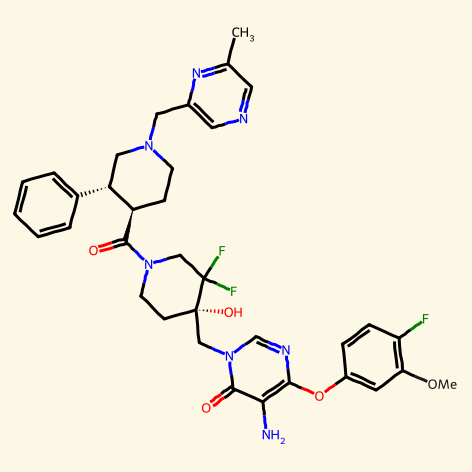 COc1cc(Oc2ncn(C[C@@]3(O)CCN(C(=O)[C@@H]4CCN(Cc5cncc(C)n5)C[C@H]4c4ccccc4)CC3(F)F)c(=O)c2N)ccc1F